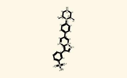 CC(C)S(=O)(=O)c1cccc(-c2cnn3cc(-c4ccc(N5[C@H](C)CNC[C@@H]5C)cc4)cnc23)c1